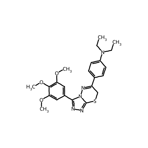 CCN(CC)c1ccc(C2=Nn3c(nnc3-c3cc(OC)c(OC)c(OC)c3)SC2)cc1